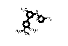 Cc1cc(Nc2nccc(C(F)(F)F)n2)cc(-c2cnc(N(C)C)c(C(=O)O)c2)c1